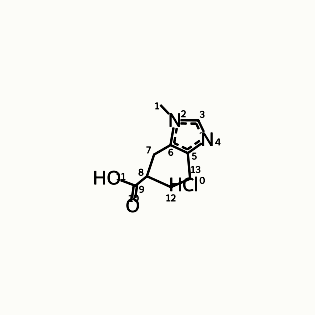 Cl.Cn1cnc2c1CC(C(=O)O)CC2